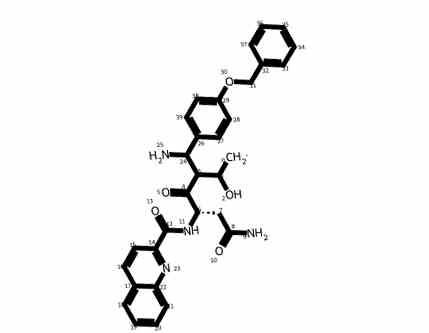 [CH2]C(O)C(C(=O)[C@H](CC(N)=O)NC(=O)c1ccc2ccccc2n1)C(N)c1ccc(OCc2ccccc2)cc1